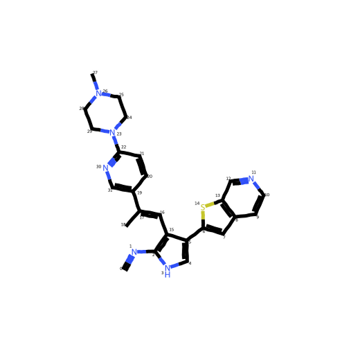 C=Nc1[nH]cc(-c2cc3ccncc3s2)c1/C=C(\C)c1ccc(N2CCN(C)CC2)nc1